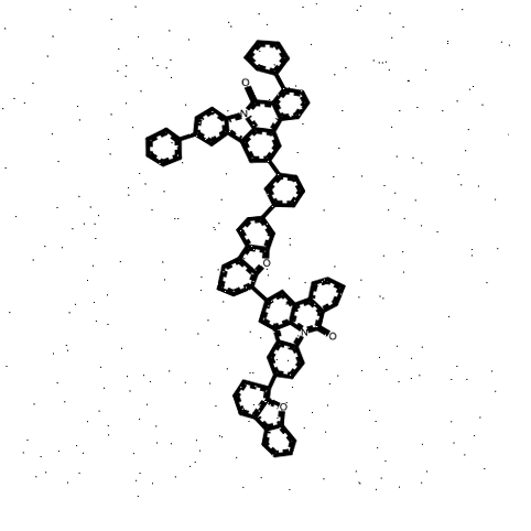 O=c1c2ccccc2c2cc(-c3cccc4c3oc3cc(-c5cccc(-c6cc7c8cccc(-c9ccccc9)c8c(=O)n8c9ccc(-c%10ccccc%10)cc9c(c6)c78)c5)ccc34)cc3c4cc(-c5cccc6c5oc5ccccc56)ccc4n1c23